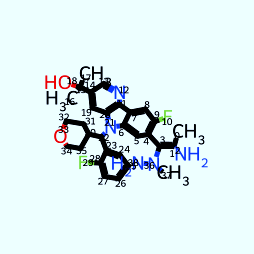 C/C(N)=C(\c1cc2c(cc1F)c1ncc(C(C)(C)O)cc1n2C(c1ccccc1F)C1CCOCC1)N(C)N